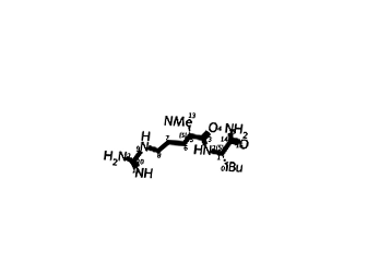 CCC(C)[C@H](NC(=O)[C@H](CCCNC(=N)N)NC)C(N)=O